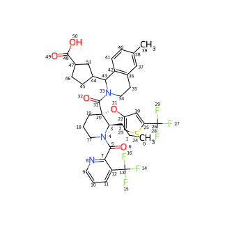 CCC[C@H]1N(C(=O)c2ncccc2C(F)(F)F)CCC[C@@]1(Oc1csc(C(F)(F)F)c1)C(=O)N1CCc2cc(C)ccc2C1C1CCC(C(=O)O)C1